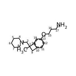 CC1(CN2CCCCC2)Cc2ccc(OCCCN)cc21